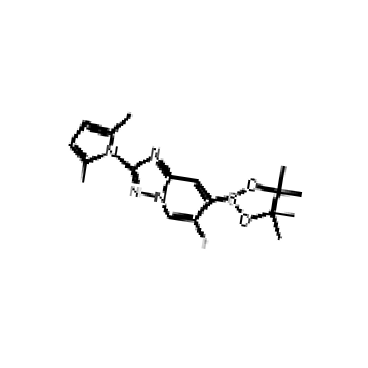 Cc1ccc(C)n1-c1nc2cc(B3OC(C)(C)C(C)(C)O3)c(F)cn2n1